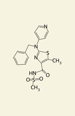 Cc1sc(N(Cc2ccccc2)c2ccncc2)nc1C(=O)NS(C)(=O)=O